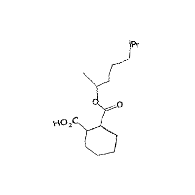 CC(C)CCCC(C)OC(=O)C1CCCCC1C(=O)O